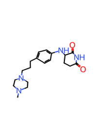 CN1CCN(CCCc2ccc(NC3CCC(=O)NC3=O)cc2)CC1